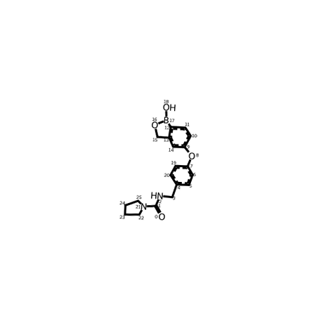 O=C(NCc1ccc(Oc2ccc3c(c2)COB3O)cc1)N1CCCC1